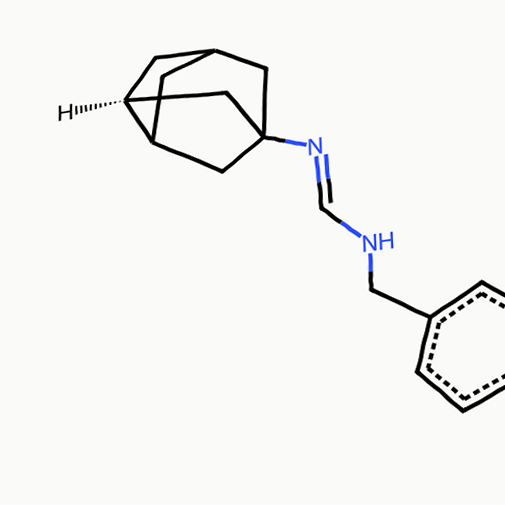 C(=N\C12CC3CC(C1)[C@@H](C3)C2)/NCc1ccccc1